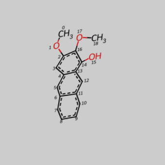 COc1cc2cc3ccccc3cc2c(O)c1OC